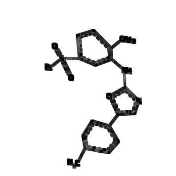 CCS(=O)(=O)c1ccc(OC)c(Nc2ncc(-c3ccc(C)cc3)o2)c1